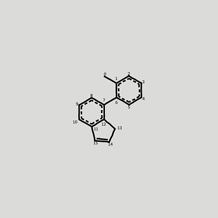 Cc1ccccc1-c1cccc2c1CC=C2